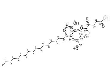 CCCCCCCCCCCCCCCCCC(=O)O[C@@H](C(=O)O)[C@@H](OC(=O)C(=O)CCC(=O)O)[C@H](O)[C@H](O)CO